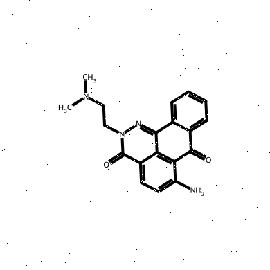 CN(C)CCn1nc2c3c(c(N)ccc3c1=O)C(=O)c1ccccc1-2